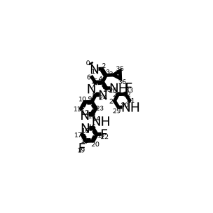 C=N/C=C(\c1c(C)nc(-c2ccnc(Nc3ncc(F)cc3F)c2)nc1NC1CCNCC1F)C1CC1